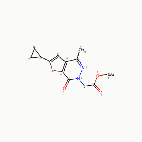 Cc1nn(CC(=O)OC(C)(C)C)c(=O)c2sc(C3CC3)cc12